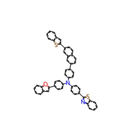 c1ccc2oc(-c3ccc(N(c4ccc(-c5ccc6ccc(-c7cc8ccccc8s7)cc6c5)cc4)c4ccc(-c5nc6ccccc6s5)cc4)cc3)cc2c1